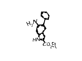 CCOC(=O)c1cc2cc(-c3ccccc3)c(N)cc2[nH]1